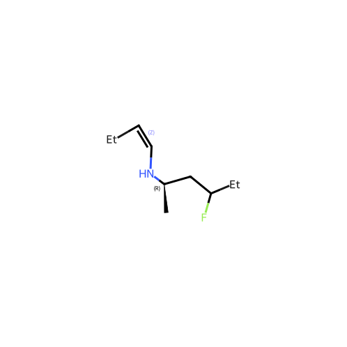 CC/C=C\N[C@H](C)CC(F)CC